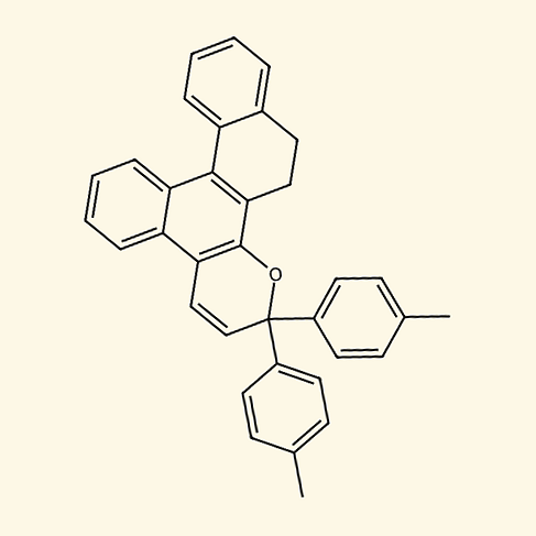 Cc1ccc(C2(c3ccc(C)cc3)C=Cc3c(c4c(c5ccccc35)-c3ccccc3CC4)O2)cc1